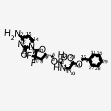 C[C@H](N[PH](=O)OC[C@@H]1CC(F)(F)[C@H](n2ccc(N)nc2=O)O1)C(=O)OCc1ccccc1